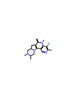 C=C1C2=C(c3cnc(C)c(F)c3N1C)N1CC(C)N(C)CC1C2